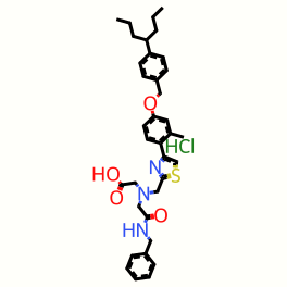 CCCC(CCC)c1ccc(COc2ccc(-c3csc(CN(CC(=O)O)CC(=O)NCc4ccccc4)n3)c(C)c2)cc1.Cl